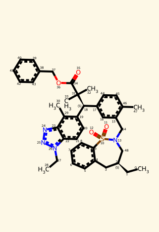 CC[C@H]1Cc2ccccc2S(=O)(=O)N(Cc2cc([C@@H](c3ccc4c(nnn4CC)c3C)C(C)(C)C(=O)OCc3ccccc3)ccc2C)C1